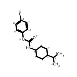 CC(C)C1CCC(NC(=O)Oc2ccc(F)cc2)CC1